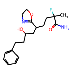 CC(F)(CCC(CC(O)[CH]Cc1ccccc1)C1=NCCO1)C(N)=O